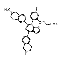 COCCOc1cc(F)ccc1-c1c(-c2ccc3c(c2)CCN(C)C3)nc(-c2ccc3c(c2)CCNC3)c2ccsc12